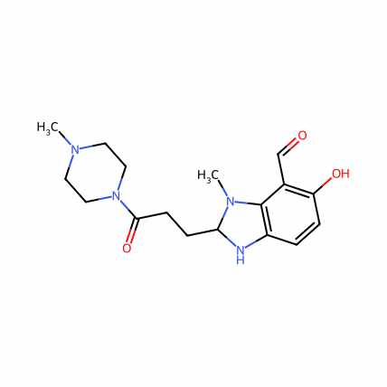 CN1CCN(C(=O)CCC2Nc3ccc(O)c(C=O)c3N2C)CC1